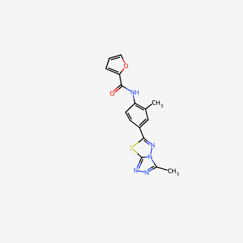 Cc1cc(-c2nn3c(C)nnc3s2)ccc1NC(=O)c1ccco1